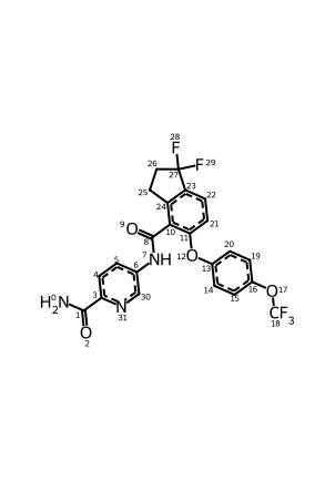 NC(=O)c1ccc(NC(=O)c2c(Oc3ccc(OC(F)(F)F)cc3)ccc3c2CCC3(F)F)cn1